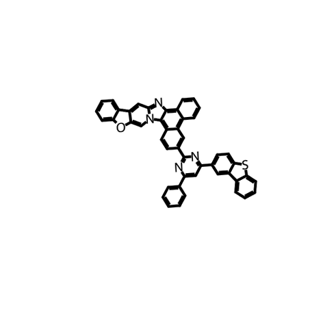 c1ccc(-c2cc(-c3ccc4sc5ccccc5c4c3)nc(-c3ccc4c(c3)c3ccccc3c3nc5cc6c(cn5c43)oc3ccccc36)n2)cc1